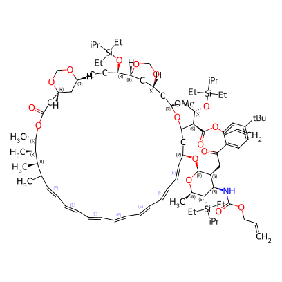 C=CCOC(=O)N[C@@H]1[C@H](CC(=O)c2ccc(C(C)(C)C)cc2)[C@H](O[C@H]2/C=C/C=C/C=C/C=C/C=C/C=C/C=C/C(C)[C@@H](C)[C@@H](C)[C@H](C)OC(=O)C[C@H]3C[C@@H](CC[C@@H](O[Si](CC)(CC)C(C)C)[C@H]4C[C@@H](C[C@]5(OC)C[C@H](O[Si](CC)(CC)C(C)C)[C@@H](C(=O)OCC=C)C(C2)O5)OCO4)OCO3)O[C@H](C)[C@H]1[Si](CC)(CC)C(C)C